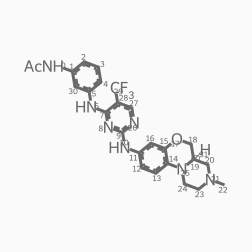 CC(=O)Nc1cccc(Nc2nc(Nc3ccc4c(c3)OC[C@H]3CN(C)CCN43)ncc2C(F)(F)F)c1